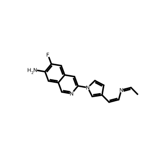 C/C=N\C=C/c1ccn(-c2cc3cc(F)c(N)cc3cn2)c1